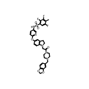 Cc1c(F)cc(S(=O)(=O)Nc2ccc(Oc3ccc4c(c3)CCN4CC(=O)N3CCN(Cc4ccc5c(c4)OCO5)CC3)nc2)c(F)c1F